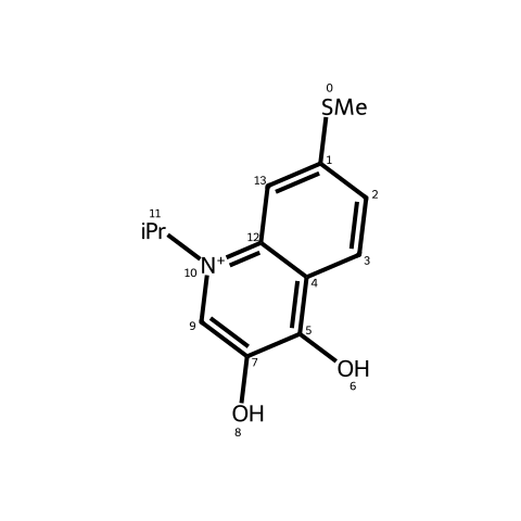 CSc1ccc2c(O)c(O)c[n+](C(C)C)c2c1